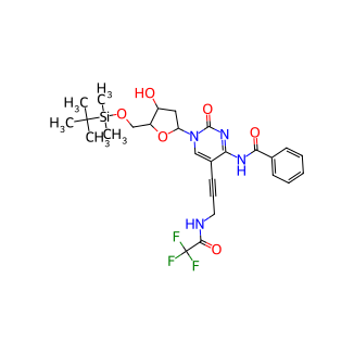 CC(C)(C)[Si](C)(C)OCC1OC(n2cc(C#CCNC(=O)C(F)(F)F)c(NC(=O)c3ccccc3)nc2=O)CC1O